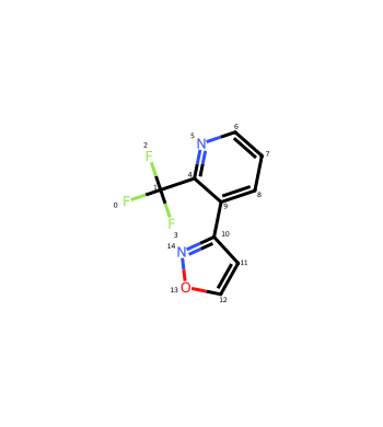 FC(F)(F)c1ncccc1-c1ccon1